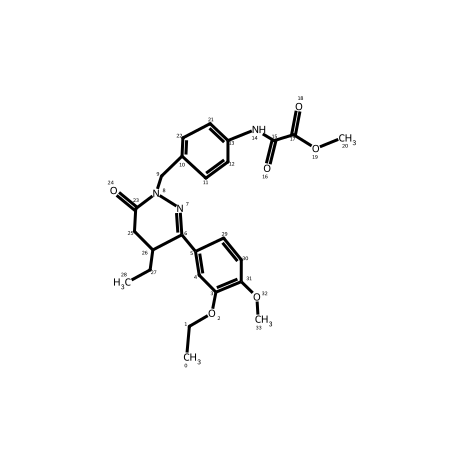 CCOc1cc(C2=NN(Cc3ccc(NC(=O)C(=O)OC)cc3)C(=O)CC2CC)ccc1OC